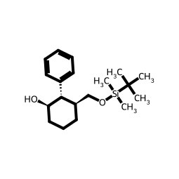 CC(C)(C)[Si](C)(C)OC[C@H]1CCC[C@@H](O)[C@@H]1c1ccccc1